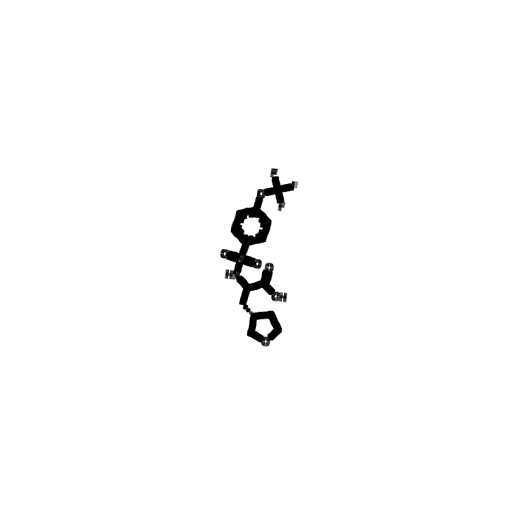 O=C(O)C(C[C@@H]1CCOC1)NS(=O)(=O)c1ccc(OC(F)(F)F)cc1